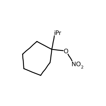 CC(C)C1(O[N+](=O)[O-])CCCCC1